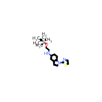 CC(C)(C)[Si](C)(C)OCCNc1ccc2c(ccn2-c2nccs2)c1